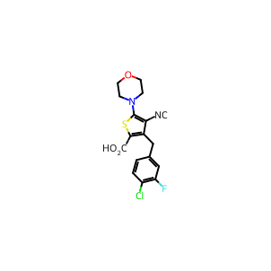 [C-]#[N+]c1c(N2CCOCC2)sc(C(=O)O)c1Cc1ccc(Cl)c(F)c1